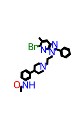 CC(=O)Nc1cccc(C2CCN(CCCn3c(-c4ccccc4)nc4cc(C)c(Br)nc43)CC2)c1